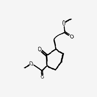 COC(=O)CC1CCCC(C(=O)OC)C1=O